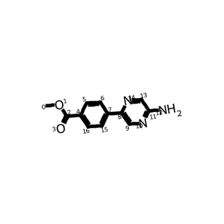 COC(=O)c1ccc(-c2cnc(N)cn2)cc1